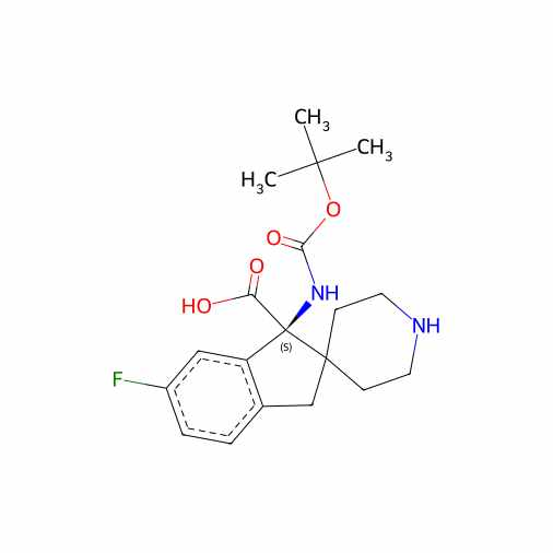 CC(C)(C)OC(=O)N[C@]1(C(=O)O)c2cc(F)ccc2CC12CCNCC2